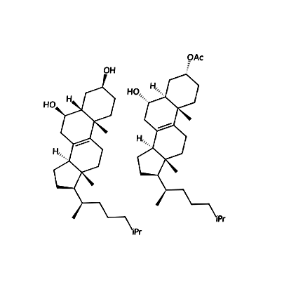 CC(=O)O[C@@H]1CC[C@]2(C)C3=C(C[C@H](O)[C@H]2C1)[C@@H]1CC[C@H]([C@H](C)CCCC(C)C)[C@@]1(C)CC3.CC(C)CCC[C@@H](C)[C@H]1CC[C@H]2C3=C(CC[C@]12C)[C@@]1(C)CC[C@H](O)C[C@H]1[C@H](O)C3